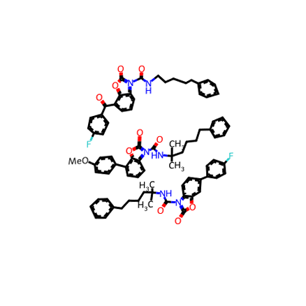 CC(C)(CCCCc1ccccc1)NC(=O)n1c(=O)oc2cc(-c3ccc(F)cc3)ccc21.COc1ccc(-c2cccc3c2oc(=O)n3C(=O)NC(C)(C)CCCCc2ccccc2)cc1.O=C(c1ccc(F)cc1)c1cccc2c1oc(=O)n2C(=O)NCCCCCc1ccccc1